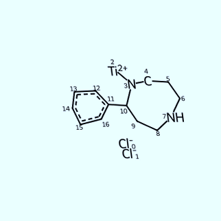 [Cl-].[Cl-].[Ti+2][N]1CCCNCCC1c1ccccc1